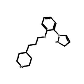 C1=CN(c2ccccc2OCCCC2CCNCC2)NC1